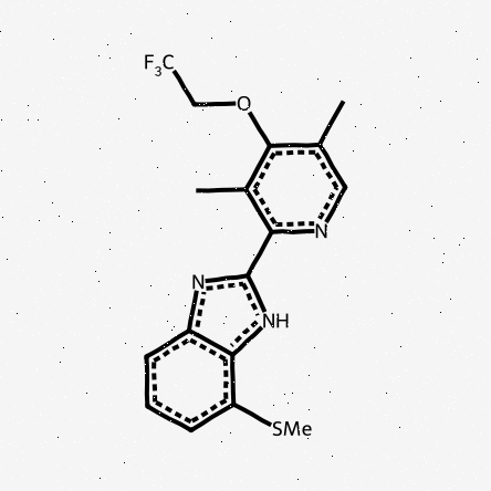 CSc1cccc2nc(-c3ncc(C)c(OCC(F)(F)F)c3C)[nH]c12